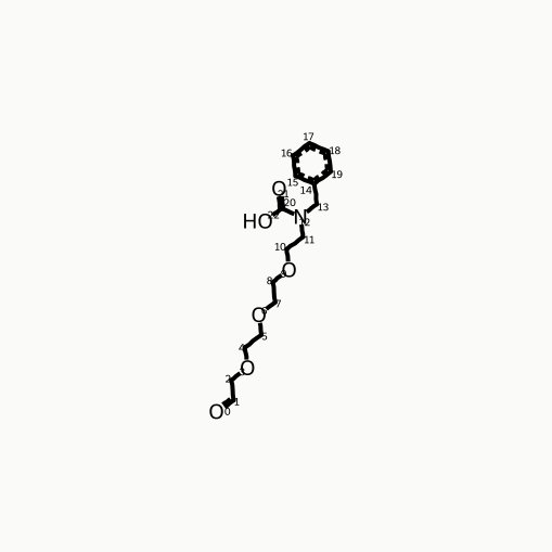 O=CCOCCOCCOCCN(Cc1ccccc1)C(=O)O